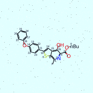 CCCCOC(=O)c1nc(C)c2sc(-c3ccc(Oc4ccccc4)cc3)cc2c1O